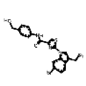 CC(C)Cc1cn(-c2nc(C(=O)Nc3ccc(CO)cc3)cs2)c2cc(Br)ccc12